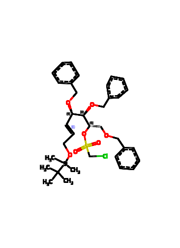 CC(C)(C)[Si](C)(C)OC/C=C/[C@@H](OCc1ccccc1)[C@@H](OCc1ccccc1)[C@H](COCc1ccccc1)OS(=O)(=O)CCl